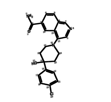 NC(=O)c1ccc2cncc(N3CCC(O)(c4ccc(Cl)cc4)CC3)c2c1